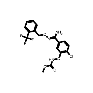 COC(=O)NOc1cc(/C(N)=N/OCc2ccccc2C(F)(F)F)ccc1Cl